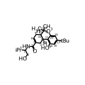 CC(C)C(CO)NC(=O)C1=CC[C@@H]2[C@@H](C1)c1c(O)cc(C(C)(C)C)cc1OC2(C)C